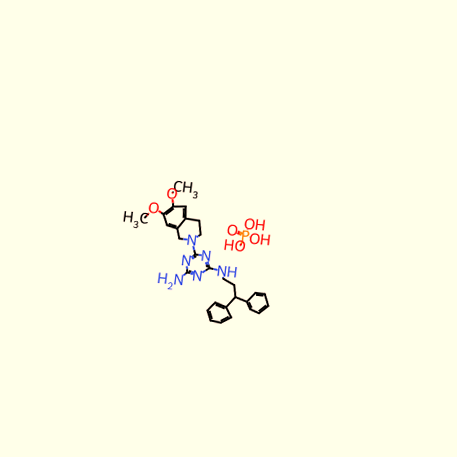 COc1cc2c(cc1OC)CN(c1nc(N)nc(NCCC(c3ccccc3)c3ccccc3)n1)CC2.O=P(O)(O)O